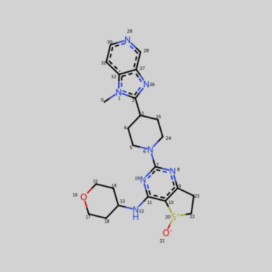 Cn1c(C2CCN(c3nc4c(c(NC5CCOCC5)n3)[S+]([O-])CC4)CC2)nc2cnccc21